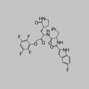 CC(C)CC(NC(=O)c1cc2cc(F)ccc2[nH]1)C(=O)NC(C[C@@H]1CCNC1=O)C(=O)COc1c(F)c(F)cc(F)c1F